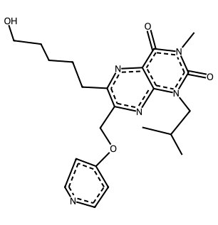 CC(C)Cn1c(=O)n(C)c(=O)c2nc(CCCCCO)c(COc3ccncc3)nc21